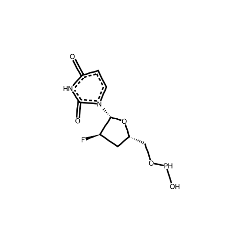 O=c1ccn([C@@H]2O[C@H](COPO)C[C@H]2F)c(=O)[nH]1